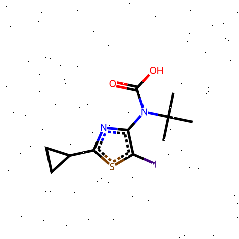 CC(C)(C)N(C(=O)O)c1nc(C2CC2)sc1I